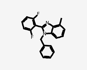 Cc1cccc2c1nc(-c1c(F)cccc1F)n2Cc1ccccc1